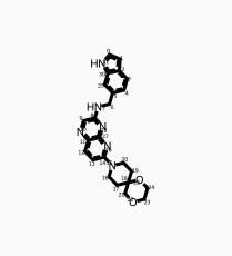 c1cc2ccc(CNc3cnc4ccc(N5CCC6(CC5)COCCO6)nc4n3)cc2[nH]1